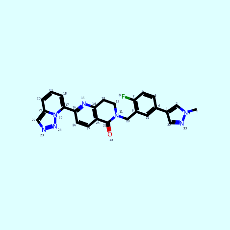 Cn1cc(-c2ccc(F)c(CN3CCc4nc(-c5cccc6cnnn56)ccc4C3=O)c2)cn1